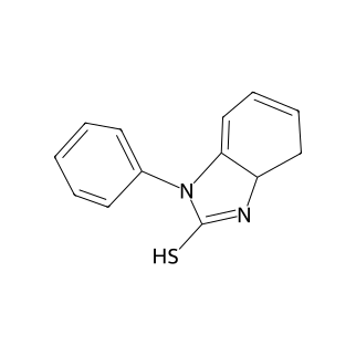 SC1=NC2CC=CC=C2N1c1ccccc1